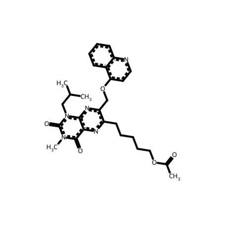 CC(=O)OCCCCCc1nc2c(=O)n(C)c(=O)n(CC(C)C)c2nc1COc1ccnc2ccccc12